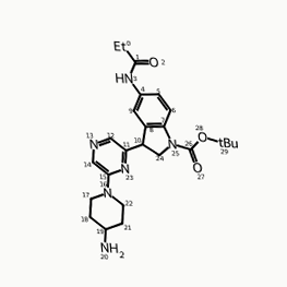 CCC(=O)Nc1ccc2c(c1)C(c1cncc(N3CCC(N)CC3)n1)CN2C(=O)OC(C)(C)C